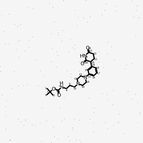 CC(C)(C)OC(=O)NCCCN1CCN(c2cccc(C3CCC(=O)NC3=O)c2)CC1